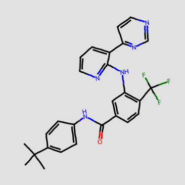 CC(C)(C)c1ccc(NC(=O)c2ccc(C(F)(F)F)c(Nc3ncccc3-c3ccncn3)c2)cc1